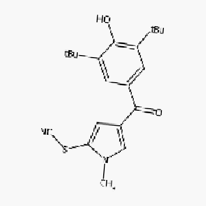 Cn1cc(C(=O)c2cc(C(C)(C)C)c(O)c(C(C)(C)C)c2)cc1SC#N